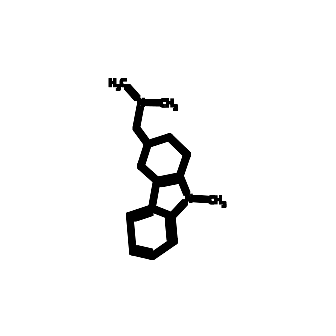 CN(C)CC1CCc2c(c3ccccc3n2C)C1